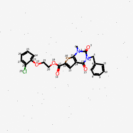 Cn1c(=O)n(Cc2ccccc2)c(=O)c2cc(C(=O)OCCOc3ccccc3Cl)sc21